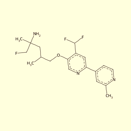 Cc1cc(-c2cc(C(F)F)c(OCC(C)CC(C)(N)CF)cn2)ccn1